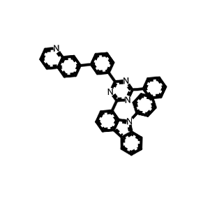 c1ccc(-c2nc(-c3cccc(-c4ccc5cccnc5c4)c3)nc(-c3cccc4c5ccccc5n(-c5ccccc5)c34)n2)cc1